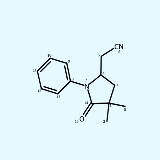 CC1(C)CC(CC#N)N(c2ccccc2)C1=O